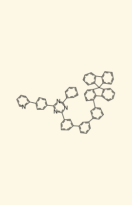 c1ccc(-c2nc(-c3ccc(-c4ccccn4)cc3)nc(-c3cccc(-c4cccc(-c5cccc(-c6cccc7c6-c6ccccc6C76c7ccccc7-c7ccccc76)c5)c4)c3)n2)cc1